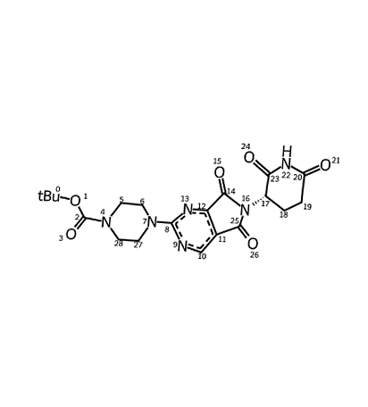 CC(C)(C)OC(=O)N1CCN(c2ncc3c(n2)C(=O)N([C@H]2CCC(=O)NC2=O)C3=O)CC1